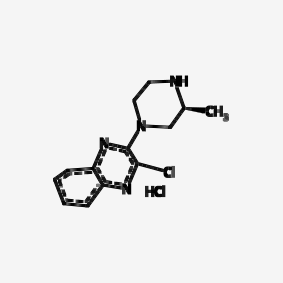 C[C@H]1CN(c2nc3ccccc3nc2Cl)CCN1.Cl